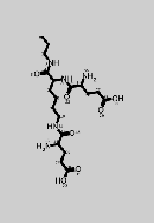 CCCNC(=O)C(CCCCNC(=O)C(N)CCC(=O)O)NC(=O)C(N)CCC(=O)O